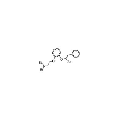 CCN(CC)CCOc1ccccc1OC(=Cc1ccccc1)C(C)=O